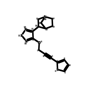 C(#Cc1cccs1)COc1nsnc1C1CN2CCC1C2